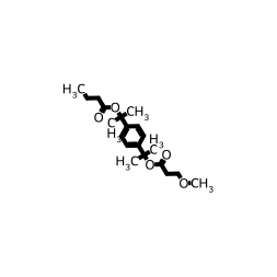 CCCC(=O)OC(C)(C)c1ccc(C(C)(C)OC(=O)CCOC)cc1